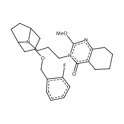 COc1nc2c(c(=O)n1CCCN1C3CCC1CC(OCc1ccccc1F)C3)CCCC2